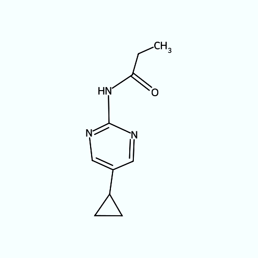 CCC(=O)Nc1ncc(C2CC2)cn1